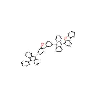 c1ccc(-c2c3ccccc3c(-c3ccc4c(c3)oc3ccc(-c5c6ccccc6c(-c6cccc7c6oc6ccccc67)c6ccccc56)cc34)c3ccccc23)cc1